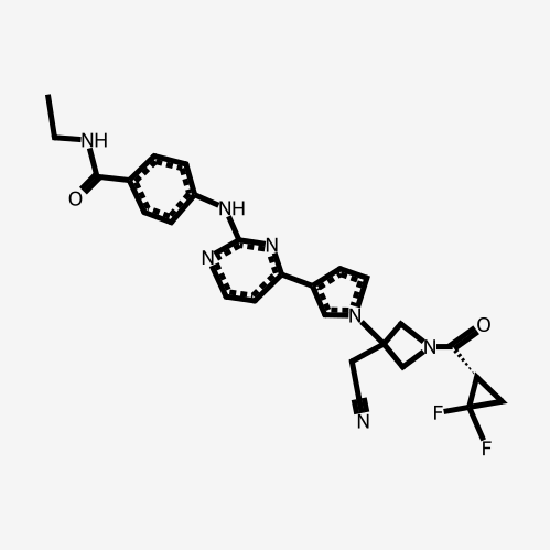 CCNC(=O)c1ccc(Nc2nccc(-c3ccn(C4(CC#N)CN(C(=O)[C@@H]5CC5(F)F)C4)c3)n2)cc1